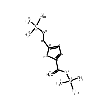 C=C(O[Si](C)(C)C)c1ccc(CO[Si](C)(C)C(C)(C)C)s1